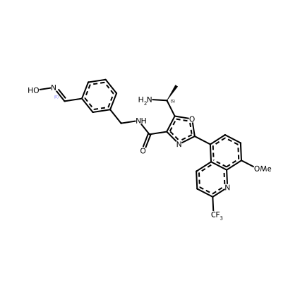 COc1ccc(-c2nc(C(=O)NCc3cccc(/C=N/O)c3)c([C@H](C)N)o2)c2ccc(C(F)(F)F)nc12